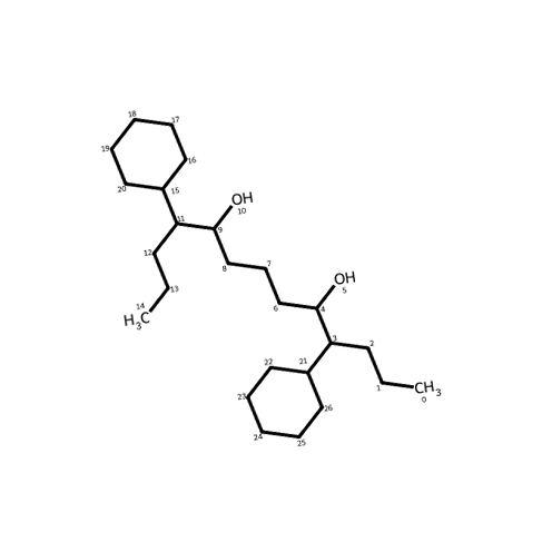 CCCC(C(O)CCCC(O)C(CCC)C1CCCCC1)C1CCCCC1